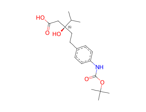 CC(C)[C@](O)(CCc1ccc(NC(=O)OC(C)(C)C)cc1)CC(=O)O